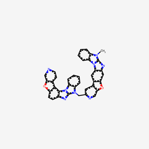 Cn1c2ccccc2n2c3cc4c(cc3nc12)oc1cnc(Cn2c3ccccc3n3c5c(ccc6oc7cnccc7c65)nc23)cc14